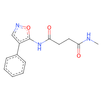 CNC(=O)CCC(=O)Nc1oncc1-c1ccccc1